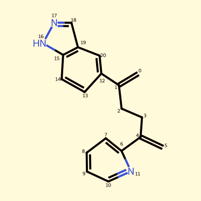 C=C(CCC(=C)c1ccccn1)c1ccc2[nH]ncc2c1